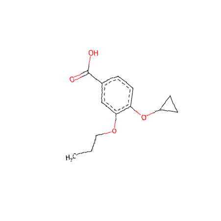 CCCOc1cc(C(=O)O)ccc1OC1CC1